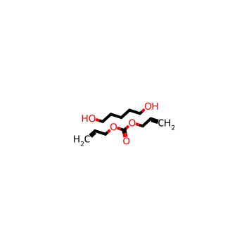 C=CCOC(=O)OCC=C.OCCCCCO